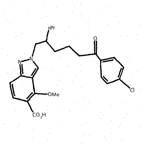 CCCC(CCCC(=O)c1ccc(Cl)cc1)Cn1cc2c(OC)c(C(=O)O)ccc2n1